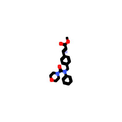 COC(=O)/C=C/c1ccc(CN(C(=O)N2CCOCC2)c2ccccc2)cc1